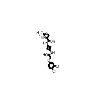 CC1NC(C(O)NC23CC(NC(O)COc4ccc(Cl)c(Cl)c4)(C2)C3)CS1